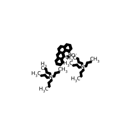 CCCC[N+](CCCC)(CCCC)CCCC.CCCC[N+](CCCC)(CCCC)CCCC.[O-]B([O-])c1cccc2ccc3cc4ccccc4cc3c12